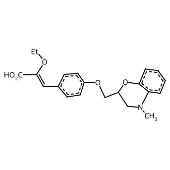 CCOC(=Cc1ccc(OCC2CN(C)c3ccccc3O2)cc1)C(=O)O